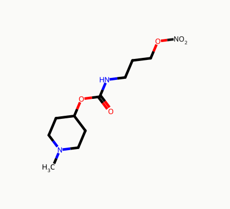 CN1CCC(OC(=O)NCCCO[N+](=O)[O-])CC1